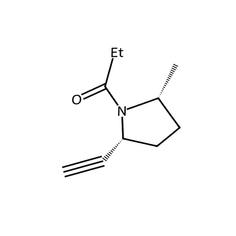 C#C[C@H]1CC[C@@H](C)N1C(=O)CC